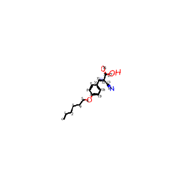 CCCCCCOc1ccc(/C=C(\C#N)C(=O)O)cc1